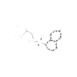 CC(N)CNS(=O)(=O)c1cccc2cnccc12